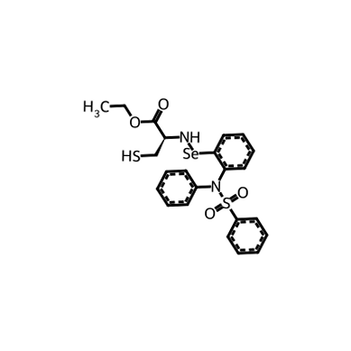 CCOC(=O)[C@H](CS)N[Se]c1ccccc1N(c1ccccc1)S(=O)(=O)c1ccccc1